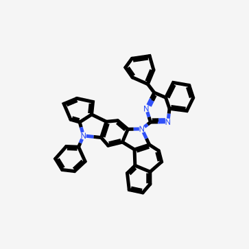 c1ccc(-c2nc(-n3c4cc5c6ccccc6n(-c6ccccc6)c5cc4c4c5ccccc5ccc43)nc3ccccc23)cc1